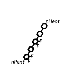 CCCCCCCC1CCC(C2CC=C(c3ccc(-c4ccc(-c5ccc(CCCCC)c(F)c5F)cc4)c(F)c3F)CC2)CC1